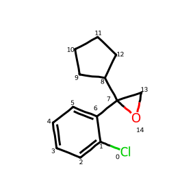 Clc1ccccc1C1(C2CCCC2)CO1